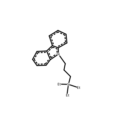 CC[Si](CC)(CC)CCCn1c2ccccc2c2ccccc21